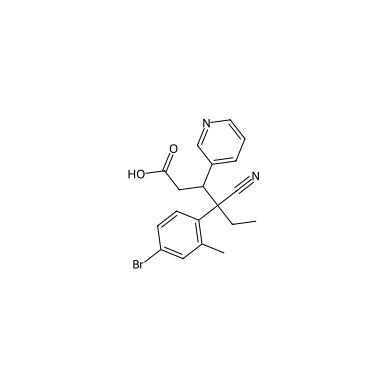 CCC(C#N)(c1ccc(Br)cc1C)C(CC(=O)O)c1cccnc1